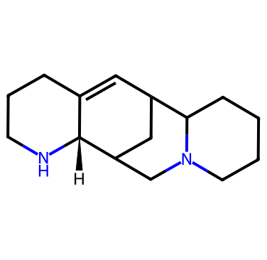 C1=C2CCCN[C@H]2C2CC1C1CCCCN1C2